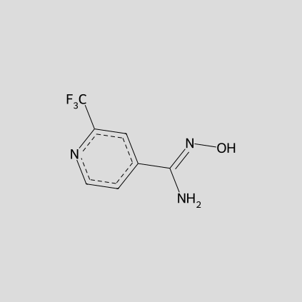 N/C(=N\O)c1ccnc(C(F)(F)F)c1